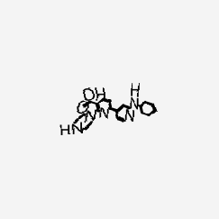 O=C(O)c1ccc(-c2ccnc(NC3CCCCC3)c2)nc1N1CCNCC1